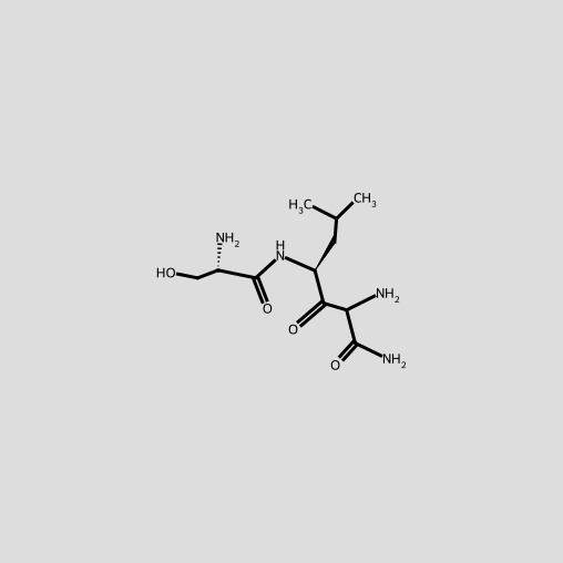 CC(C)C[C@H](NC(=O)[C@@H](N)CO)C(=O)C(N)C(N)=O